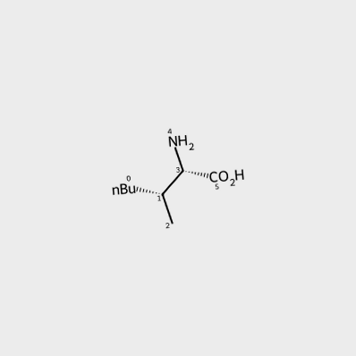 CCCC[C@@H](C)[C@H](N)C(=O)O